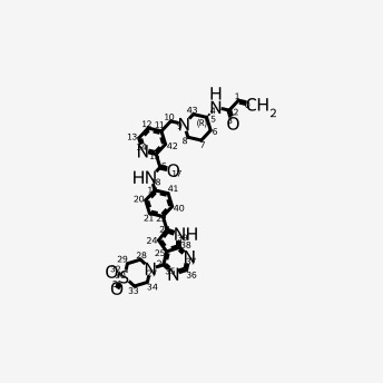 C=CC(=O)N[C@@H]1CCCN(Cc2ccnc(C(=O)Nc3ccc(-c4cc5c(N6CCS(=O)(=O)CC6)ncnc5[nH]4)cc3)c2)C1